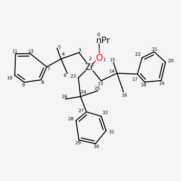 CCC[O][Zr]([CH2]C(C)(C)c1ccccc1)([CH2]C(C)(C)c1ccccc1)[CH2]C(C)(C)c1ccccc1